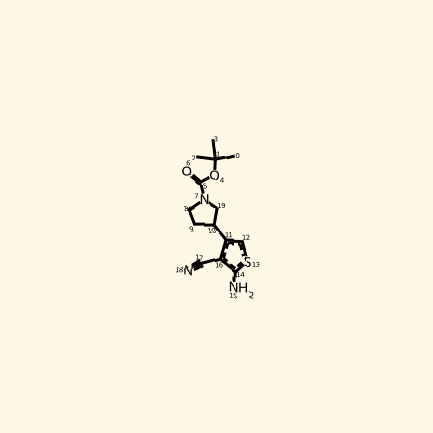 CC(C)(C)OC(=O)N1CCC(c2csc(N)c2C#N)C1